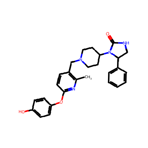 Cc1nc(Oc2ccc(O)cc2)ccc1CN1CCC(N2C(=O)NCC2c2ccccc2)CC1